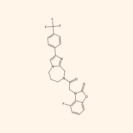 O=C(Cn1c(=O)oc2cccc(F)c21)N1CCCn2cc(-c3ccc(C(F)(F)F)cc3)nc2C1